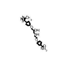 Cc1nnsc1-c1ccc(OCC(O)CNCCOc2ccc(C(N)=O)cc2)cc1